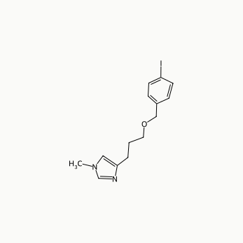 Cn1cnc(CCCOCc2ccc(I)cc2)c1